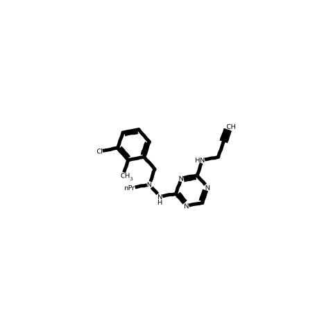 C#CCNc1ncnc(NN(CCC)Cc2cccc(Cl)c2C)n1